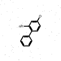 CCCc1cc([O])ccc1-c1ccccc1